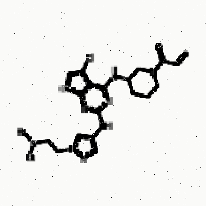 C=CC(=O)N1CCC[C@@H](Nc2nc(Nc3cnn(CCN(CC)CC)c3)nc3[nH]cc(Cl)c23)C1